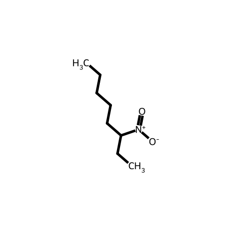 CCCCCC(CC)[N+](=O)[O-]